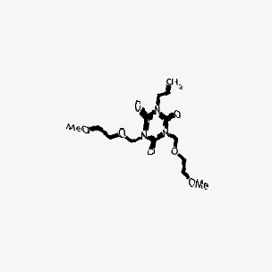 C=CCn1c(=O)n(COCCOC)c(=O)n(COCCOC)c1=O